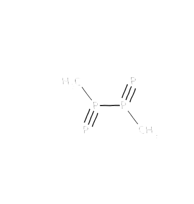 CP(#P)P(C)#P